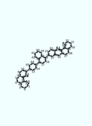 c1cnc2c(c1)ccc1ccc(-c3ccc(-c4ccc(-c5ccc6nc7c(ccc8cccnc87)cc6c5)c5ccccc45)cc3)nc12